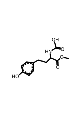 COC(=O)C(CCc1ccc(O)cc1)NC(=O)O